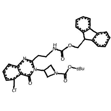 CC(C)(C)OC(=O)N1CC(n2c(CCNC(=O)OCC3c4ccccc4-c4ccccc43)nc3cccc(Cl)c3c2=O)C1